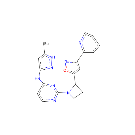 CC(C)(C)c1cc(Nc2ccnc(N3CCC3c3cc(-c4ccccn4)no3)n2)n[nH]1